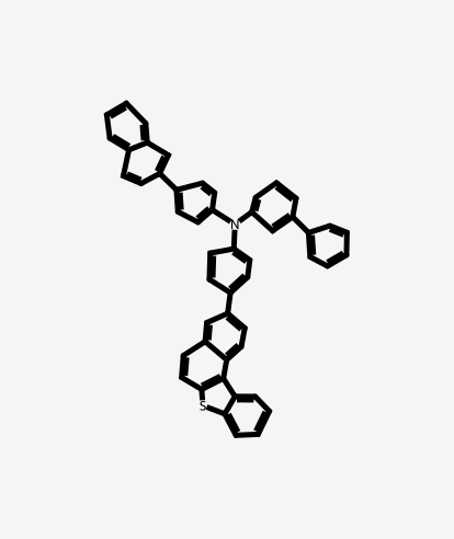 c1ccc(-c2cccc(N(c3ccc(-c4ccc5ccccc5c4)cc3)c3ccc(-c4ccc5c(ccc6sc7ccccc7c65)c4)cc3)c2)cc1